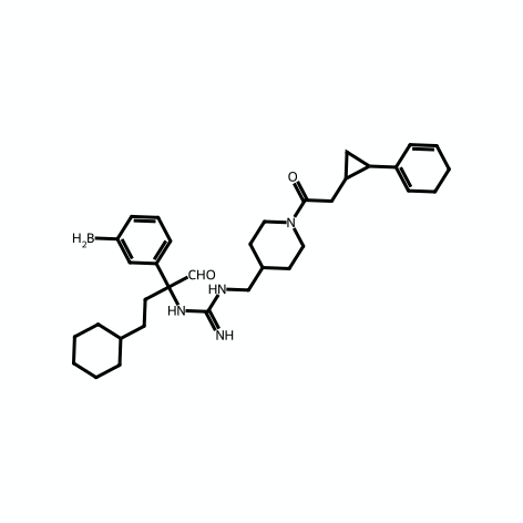 Bc1cccc(C(C=O)(CCC2CCCCC2)NC(=N)NCC2CCN(C(=O)CC3CC3C3=CCCC=C3)CC2)c1